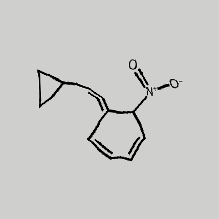 O=[N+]([O-])C1C=CC=CC1=CC1CC1